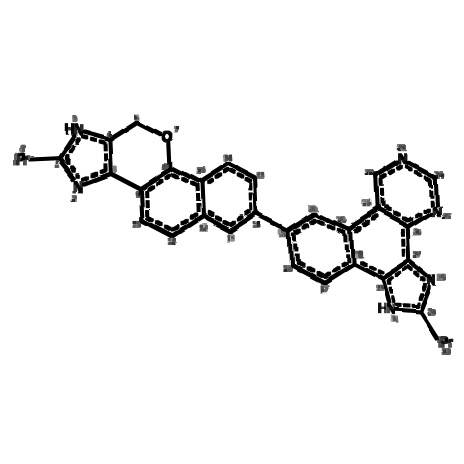 CC(C)c1nc2c([nH]1)COc1c-2ccc2cc(-c3ccc4c(c3)c3cncnc3c3nc(C(C)C)[nH]c43)ccc12